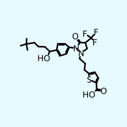 CC(C)(C)CCCC(O)c1ccc(N2C(=O)C(C(F)(F)F)CN2CCCc2ccc(C(=O)O)s2)cc1